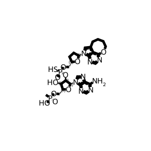 CP(=O)(O)OC[C@H]1O[C@@H](n2cnc3c(N)ncnc32)[C@H](OP(=O)(S)OC[C@@H]2CC[C@H](n3cc4c5c(ncnc53)OCCCC4)O2)[C@@H]1O